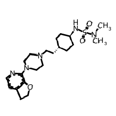 CN(C)S(=O)(=O)N[C@H]1CC[C@H](CCN2CCN(c3nccc4c3OCC4)CC2)CC1